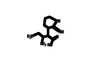 CCC(C)C(C(=O)O)N1CCCNC1=N